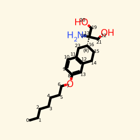 CCCCCCCOc1ccc2c(c1)CC[C@@H](C(N)(CO)CO)C2